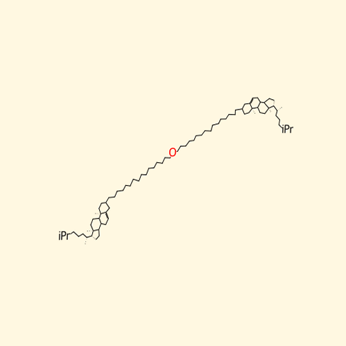 CC(C)CCC[C@@H](C)[C@H]1CCC2C3CC=C4CC(CCCCCCCCCCCCCCCCOCCCCCCCCCCCCCCCCC5CC[C@@]6(C)C(=CCC7C6CC[C@@]6(C)C7CC[C@@H]6[C@H](C)CCCC(C)C)C5)CC[C@]4(C)C3CC[C@@]21C